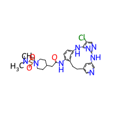 CN(C)S(=O)(=O)N1CCC(CC(=O)Nc2ccc3cc2CCc2cncc(c2)Nc2ncc(Cl)c(n2)N3)CC1